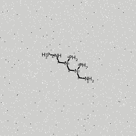 NCN(P)CN(P)CNP